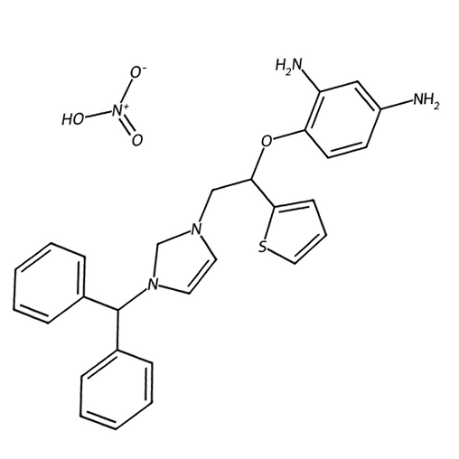 Nc1ccc(OC(CN2C=CN(C(c3ccccc3)c3ccccc3)C2)c2cccs2)c(N)c1.O=[N+]([O-])O